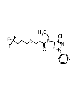 CCN(C(=O)CCSCCCC(F)(F)F)c1cn(-c2cccnc2)nc1Cl